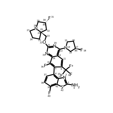 Nc1nc2c(-c3c(C(F)(F)F)cc4c(N5CC[C@@H](F)C5)nc(OC[C@@]56CCCN5C[C@H](F)C6)nc4c3F)ccc(F)c2s1